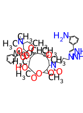 CO[C@@]1(C)C[C@@H](C)C(=O)[C@H](C)C2N(CCCCN3C=C(c4cccc(N)c4)NN3)C(=O)O[C@@]23C(C)C3OC(=O)[C@H](C)[C@@H](O)[C@H](C)[C@H]1OC1O[C@H](C)C[C@H](N(C)C)[C@H]1OC(=O)c1ccccc1